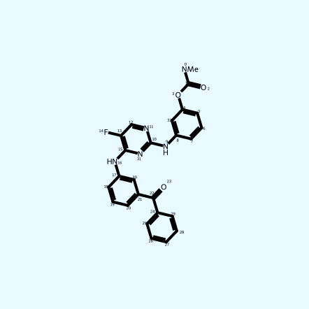 CNC(=O)Oc1cccc(Nc2ncc(F)c(Nc3cccc(C(=O)c4ccccc4)c3)n2)c1